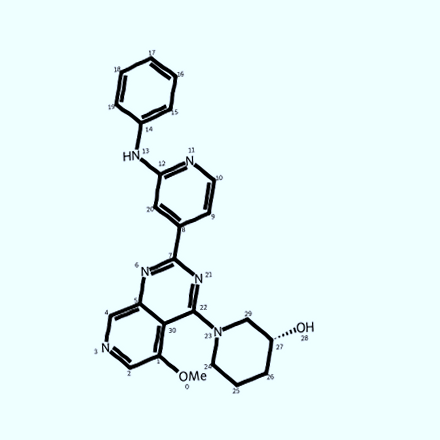 COc1cncc2nc(-c3ccnc(Nc4ccccc4)c3)nc(N3CCC[C@@H](O)C3)c12